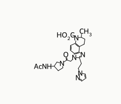 CC(=O)NC1CCN(C(=O)Cn2c(CCn3cccn3)nc3c4c(ccc32)N(C(=O)O)C(C)CC4)C1